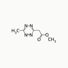 COC(=O)Cc1nnc(C)nn1